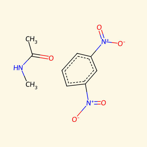 CNC(C)=O.O=[N+]([O-])c1cccc([N+](=O)[O-])c1